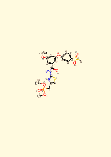 CCOP(=O)(Cc1csc(NC(=O)c2cc(Oc3ccc(S(C)(=O)=O)cc3)cc(O[C@@H](C)CC)c2)n1)OCC